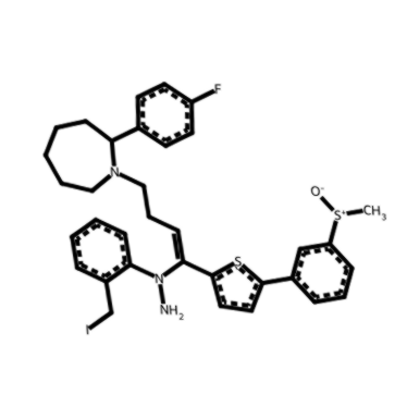 C[S+]([O-])c1cccc(-c2ccc(/C(=C/CCN3CCCCCC3c3ccc(F)cc3)N(N)c3ccccc3CI)s2)c1